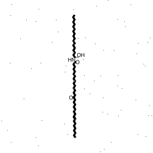 CCCCCCCCC=CCCCCCCCC(=O)CCCCCCCCCCCCCCC(=O)N[C@@H](CO)CCCCCCCCCCCCCCCCCC